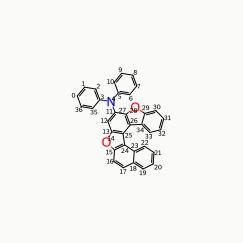 c1ccc(N(c2ccccc2)c2cc3oc4ccc5ccccc5c4c3c3c2oc2ccccc23)cc1